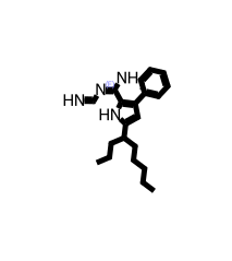 CCCCCC(CCC)c1cc(-c2ccccc2)c(/C(N)=N\C=N)[nH]1